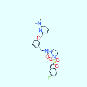 CN(C)c1cccc(COc2cccc(CNC(=O)[C@@H]3CCCN3S(=O)(=O)c3cc4cc(F)ccc4o3)c2)n1